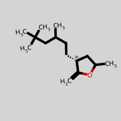 C=C1OC(C)C[C@H]1CCC(C)CC(C)(C)C